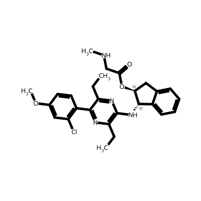 CCc1nc(-c2ccc(OC)cc2Cl)c(CC)nc1N[C@H]1c2ccccc2C[C@@H]1OC(=O)CNC